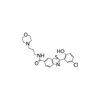 O=C(NCCCN1CCOCC1)c1ccc2nc(-c3cc(Cl)ccc3O)sc2c1